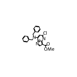 COC(=O)c1cnn2c(N(Cc3ccccc3)Cc3ccccc3)cc(Cl)nc12